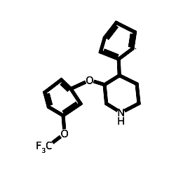 FC(F)(F)Oc1cccc(OC2CNCCC2c2[c]cccc2)c1